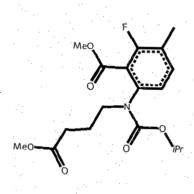 COC(=O)CCCN(C(=O)OC(C)C)c1ccc(C)c(F)c1C(=O)OC